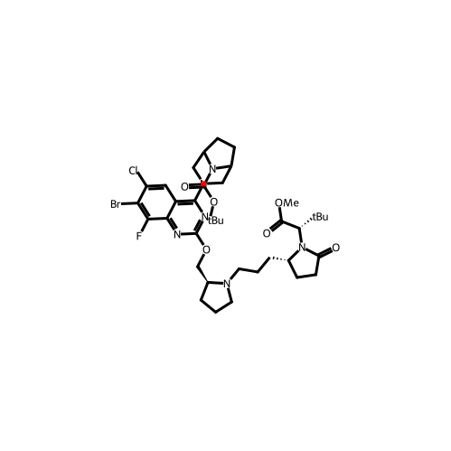 COC(=O)[C@@H](N1C(=O)CC[C@@H]1CCCN1CCC[C@H]1COc1nc(N2CC3CCC(C2)N3C(=O)OC(C)(C)C)c2cc(Cl)c(Br)c(F)c2n1)C(C)(C)C